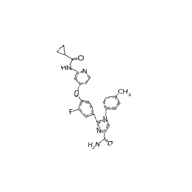 Cc1ccc(-n2cc(C(N)=O)nc2-c2ccc(Oc3ccnc(NC(=O)C4CC4)c3)c(F)c2)cc1